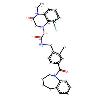 Cc1cc(C(=O)N2CCCCc3ccccc32)ccc1CNC(=O)ON1CC(=O)N(CC#N)c2cccc(F)c21